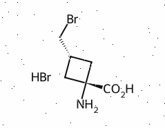 Br.N[C@]1(C(=O)O)C[C@H](CBr)C1